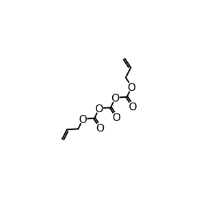 C=CCOC(=O)OC(=O)OC(=O)OCC=C